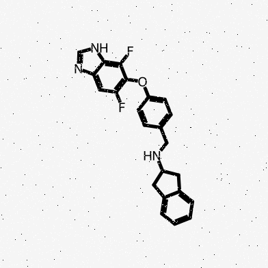 Fc1cc2nc[nH]c2c(F)c1Oc1ccc(CNC2Cc3ccccc3C2)cc1